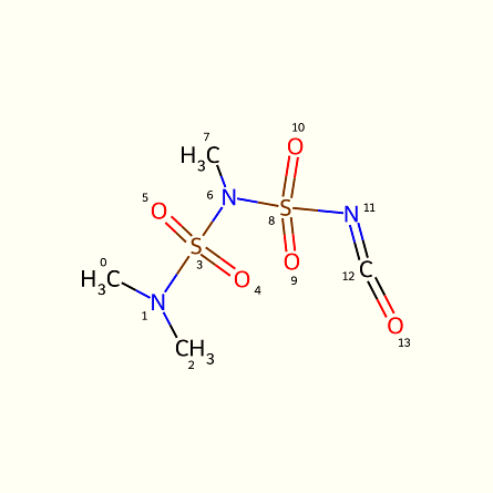 CN(C)S(=O)(=O)N(C)S(=O)(=O)N=C=O